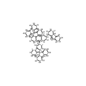 c1ccc(C2(c3ccc(N(c4ccc(-c5cccc6c5oc5ccccc56)cc4)c4cccc5c4-c4ccccc4C54c5ccccc5-c5ccccc54)cc3)c3ccccc3-c3ccccc32)cc1